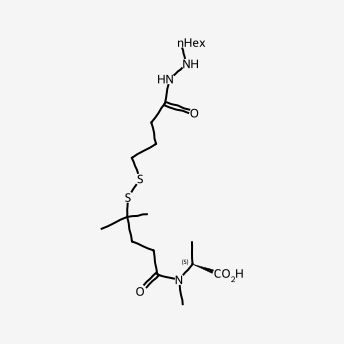 CCCCCCNNC(=O)CCCSSC(C)(C)CCC(=O)N(C)[C@@H](C)C(=O)O